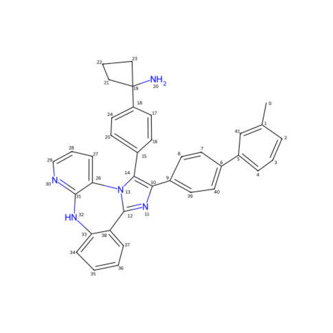 Cc1cccc(-c2ccc(-c3nc4n(c3-c3ccc(C5(N)CCC5)cc3)-c3cccnc3Nc3ccccc3-4)cc2)c1